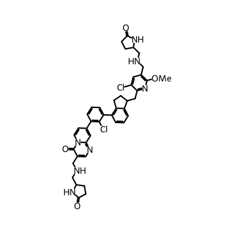 COc1nc(CC2CCc3c(-c4cccc(-c5ccn6c(=O)c(CNCC7CCC(=O)N7)cnc6c5)c4Cl)cccc32)c(Cl)cc1CNCC1CCC(=O)N1